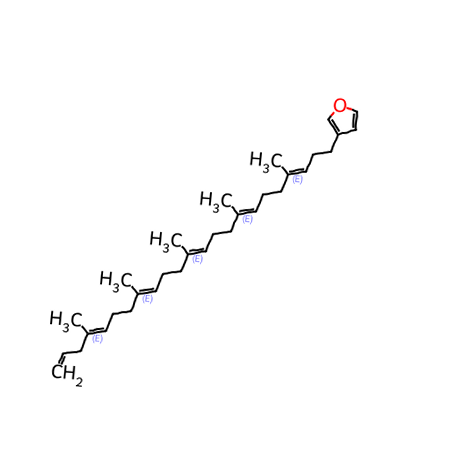 C=CC/C(C)=C/CC/C(C)=C/CC/C(C)=C/CC/C(C)=C/CC/C(C)=C/CCc1ccoc1